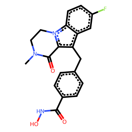 CN1CCn2c(c(Cc3ccc(C(=O)NO)cc3)c3cc(F)ccc32)C1=O